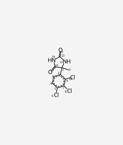 CC1(c2ccc(Cl)c(Cl)c2Cl)NC(=O)NC1=O